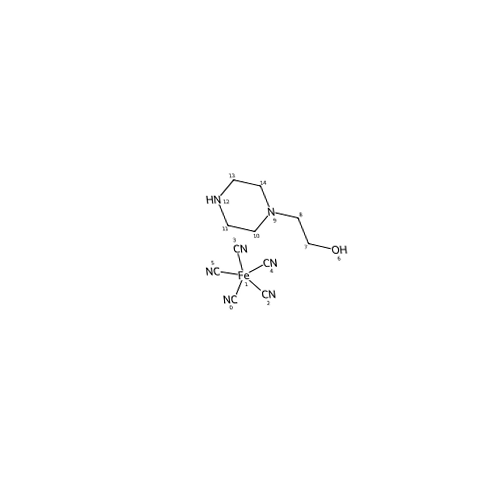 N#[C][Fe]([C]#N)([C]#N)([C]#N)[C]#N.OCCN1CCNCC1